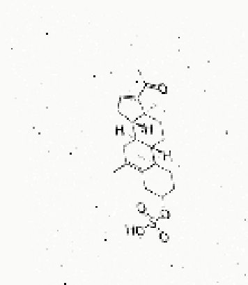 CC(=O)C1=CC[C@H]2[C@@H]3CC(C)=C4C[C@@H](OS(=O)(=O)O)CC[C@]4(C)[C@H]3CC[C@]12C